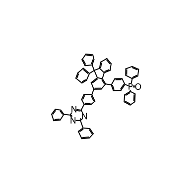 O=P(c1ccccc1)(c1ccccc1)c1ccc(-c2cc(-c3ccc(-c4nc(-c5ccccc5)nc(-c5ccccc5)n4)cc3)cc3c2-c2ccccc2C3(c2ccccc2)c2ccccc2)cc1